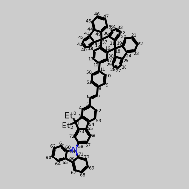 CCC1(CC)c2cc(/C=C/c3ccc(-c4ccc5c(c4)C4(c6ccccc6-c6ccccc64)c4ccccc4C54c5ccccc5-c5ccccc54)cc3)ccc2-c2ccc(-n3c4ccccc4c4ccccc43)cc21